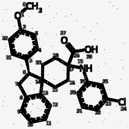 COc1ccc([C@@H]2Cc3ccccc3C23CCC(Nc2cccc(Cl)c2)(C(=O)O)CC3)cc1